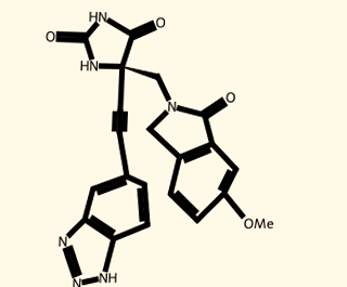 COc1ccc2c(c1)C(=O)N(C[C@@]1(C#Cc3ccc4[nH]nnc4c3)NC(=O)NC1=O)C2